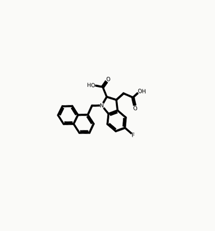 O=C(O)CC1c2cc(F)ccc2N(Cc2cccc3ccccc23)C1C(=O)O